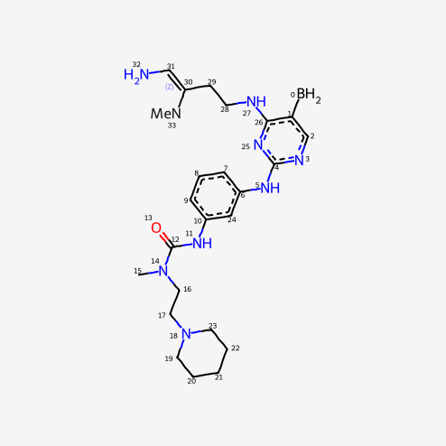 Bc1cnc(Nc2cccc(NC(=O)N(C)CCN3CCCCC3)c2)nc1NCC/C(=C/N)NC